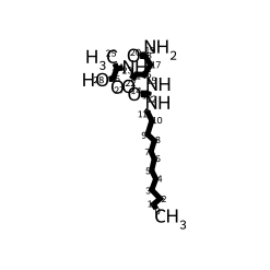 CCCCCCCCCCCCNC(=O)NC(CC(N)=O)C(=O)NC(C)C(=O)O